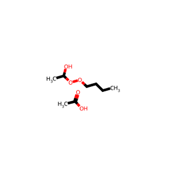 CC(=O)O.CCCCOOC(C)O